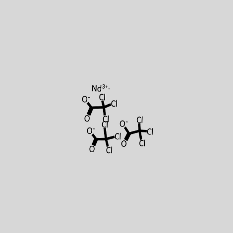 O=C([O-])C(Cl)(Cl)Cl.O=C([O-])C(Cl)(Cl)Cl.O=C([O-])C(Cl)(Cl)Cl.[Nd+3]